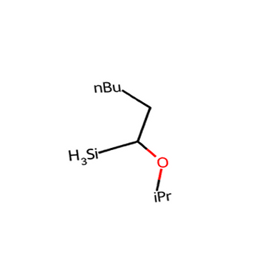 CCCCCC([SiH3])OC(C)C